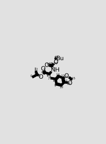 CC(I)OC(=O)[C@@H](Cc1ccc2c(c1)OCO2)NC(=O)OC(C)(C)C